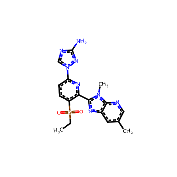 CCS(=O)(=O)c1ccc(-n2cnc(N)n2)nc1-c1nc2cc(C)cnc2n1C